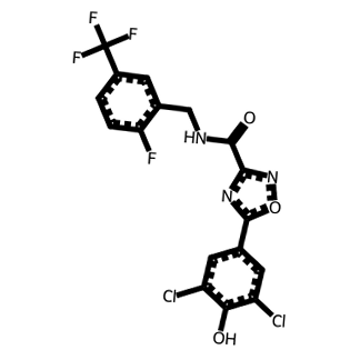 O=C(NCc1cc(C(F)(F)F)ccc1F)c1noc(-c2cc(Cl)c(O)c(Cl)c2)n1